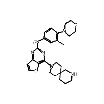 Cc1cc(Nc2nc(N3CCC4(CCCNC4)CC3)c3occc3n2)ccc1N1CCOCC1